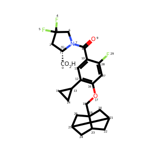 O=C(O)[C@@H]1CC(F)(F)CN1C(=O)c1cc(C2CC2)c(OCC23CC4CC2CC4C3)cc1F